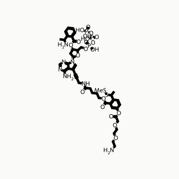 CSSC(C)c1ccc(OC(=O)COCCOCCN)cc1C(=O)OCCCCC(=O)NCC#Cc1cn([C@H]2C[C@@H](OC(=O)c3ccccc3C(C)N)C(COP(=O)(O)OP(=O)(O)OP(=O)(O)O)O2)c2ncnc(N)c12